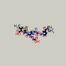 C=CC1=C(C(=O)O)N2C[C@@H](NC(=O)/C(=N/OCC(=O)O)c3csc(NC(=O)OC[n+]4cccc(C(=O)N(C)C)c4)n3)[C@H]2[S+]([O-])C1